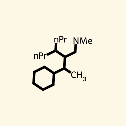 CCCC(CCC)C(CNC)C(C)C1CCCCC1